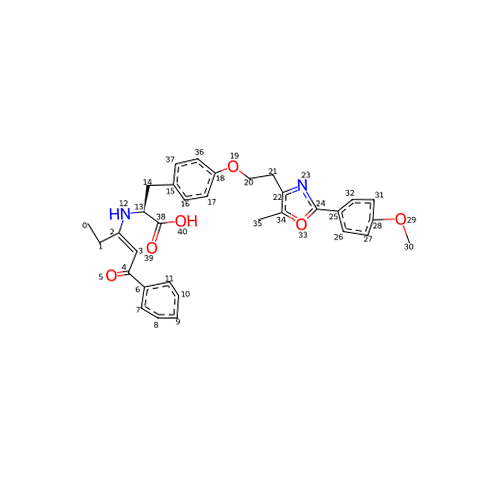 CC/C(=C\C(=O)c1ccccc1)N[C@@H](Cc1ccc(OCCc2nc(-c3ccc(OC)cc3)oc2C)cc1)C(=O)O